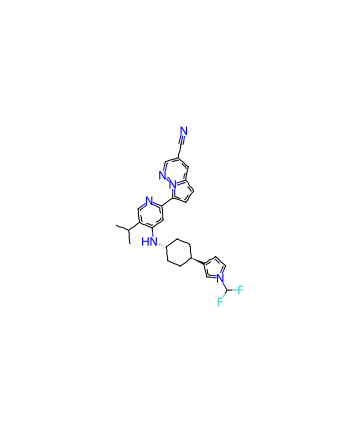 CC(C)c1cnc(-c2ccc3cc(C#N)cnn23)cc1N[C@H]1CC[C@H](c2ccn(C(F)F)c2)CC1